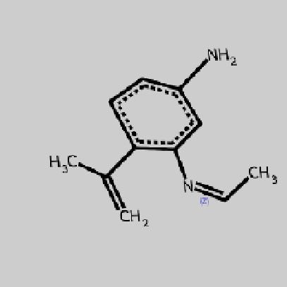 C=C(C)c1ccc(N)cc1/N=C\C